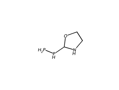 PPC1NCCO1